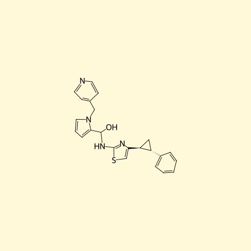 OC(Nc1nc([C@H]2C[C@@H]2c2ccccc2)cs1)c1cccn1Cc1ccncc1